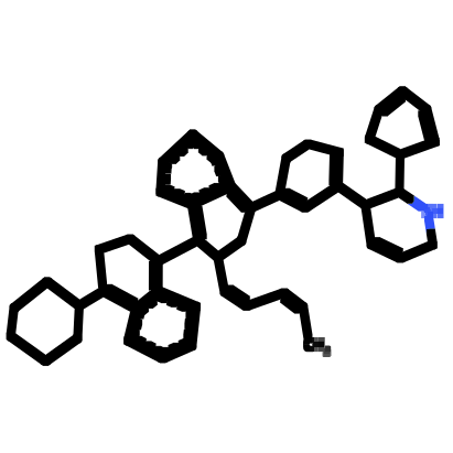 C/C=C\C=C/C1CC(C2=CC(C3C=CCNC3C3C=CC=CC3)=CCC2)=c2ccccc2=C1C1=c2ccccc2=C(C2CCCCC2)CC1